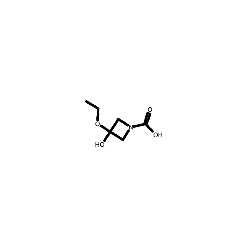 CCOC1(O)CN(C(=O)O)C1